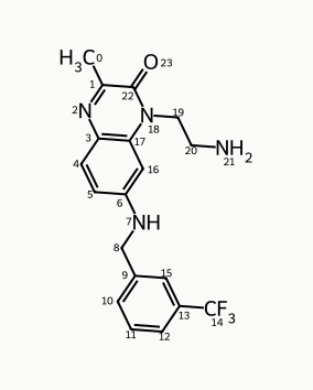 Cc1nc2ccc(NCc3cccc(C(F)(F)F)c3)cc2n(CCN)c1=O